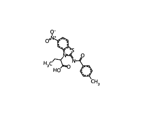 CCC(C(=O)O)n1c(=NC(=O)c2ccc(C)cc2)sc2ccc([N+](=O)[O-])cc21